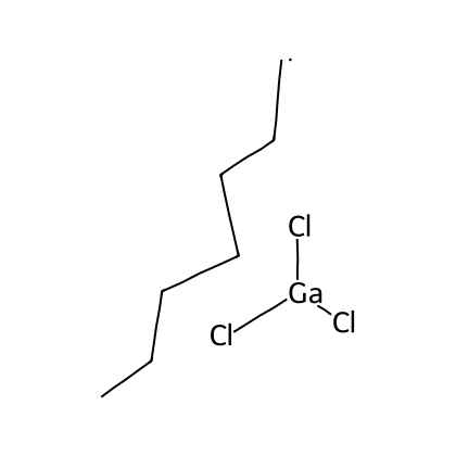 [CH2]CCCCCC.[Cl][Ga]([Cl])[Cl]